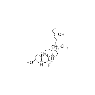 C[C@H](CCCC1(O)CC1)[C@H]1CC[C@H]2C3C(CC[C@]12C)[C@@]1(C)CC[C@H](O)C[C@@H]1CC3(F)F